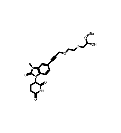 Cn1c(=O)n(C2CCC(=O)NC2=O)c2ccc(C#CCOCCOCC(O)OC(C)(C)C)cc21